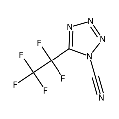 N#Cn1nnnc1C(F)(F)C(F)(F)F